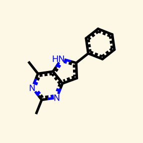 Cc1nc(C)c2[nH]c(-c3ccccc3)cc2n1